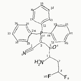 N#CC(C(=O)C(N)CC(F)F)=P(c1ccccc1)(c1ccccc1)c1ccccc1